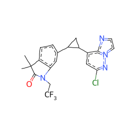 CC1(C)C(=O)N(CC(F)(F)F)c2cc(C3CC3c3cc(Cl)nn4ccnc34)ccc21